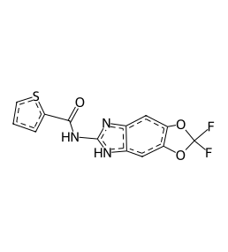 O=C(Nc1nc2cc3c(cc2[nH]1)OC(F)(F)O3)c1cccs1